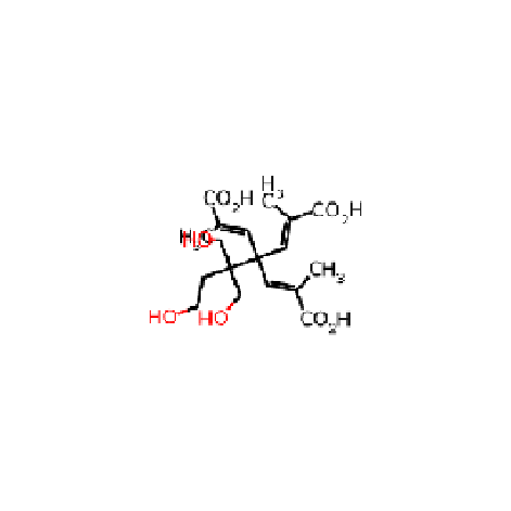 CC(=CC(C=C(C)C(=O)O)(C=C(C)C(=O)O)C(CO)(CO)CCO)C(=O)O